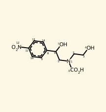 O=C(O)N(CCO)CC(O)c1ccc([N+](=O)[O-])cc1